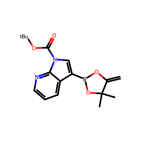 C=C1OB(c2cn(C(=O)OC(C)(C)C)c3ncccc23)OC1(C)C